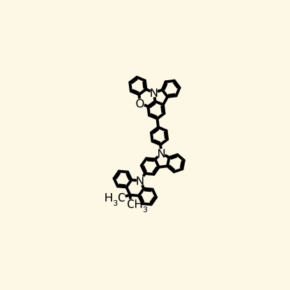 CC1(C)c2ccccc2N(c2ccc3c(c2)c2ccccc2n3-c2ccc(-c3cc4c5c(c3)c3ccccc3n5-c3ccccc3O4)cc2)c2ccccc21